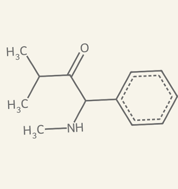 CNC(C(=O)C(C)C)c1ccccc1